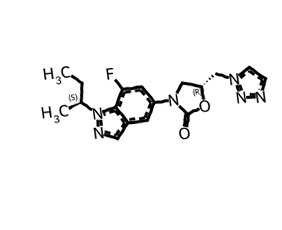 CC[C@H](C)n1ncc2cc(N3C[C@H](Cn4ccnn4)OC3=O)cc(F)c21